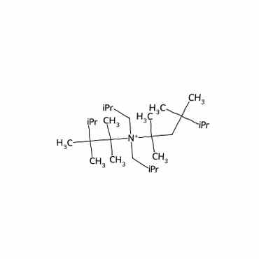 CC(C)C[N+](CC(C)C)(C(C)(C)CC(C)(C)C(C)C)C(C)(C)C(C)(C)C(C)C